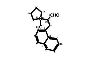 O=[C][C@@H](Cc1cccc2ccccc12)[N+]1([O-])CCCC1